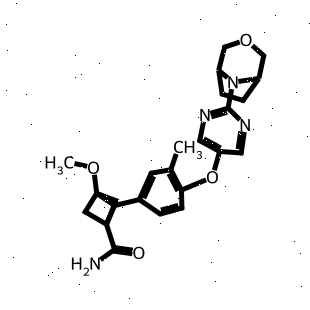 COC12CC(C(N)=O)(C1)C2c1ccc(Oc2cnc(N3C4CCC3COC4)nc2)c(C)c1